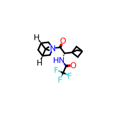 CC1(C)[C@@H]2C[C@H]1CN(C(=O)[C@@H](NC(=O)C(F)(F)F)C13CC(C1)C3)C2